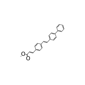 COC(=O)/C=C/c1ccc(/C=C/c2ccc(-c3ccccc3)cc2)cc1